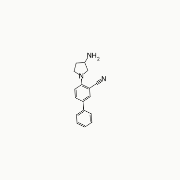 N#Cc1cc(-c2ccccc2)ccc1N1CCC(N)C1